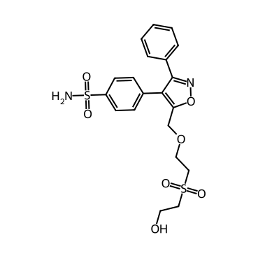 NS(=O)(=O)c1ccc(-c2c(-c3ccccc3)noc2COCCS(=O)(=O)CCO)cc1